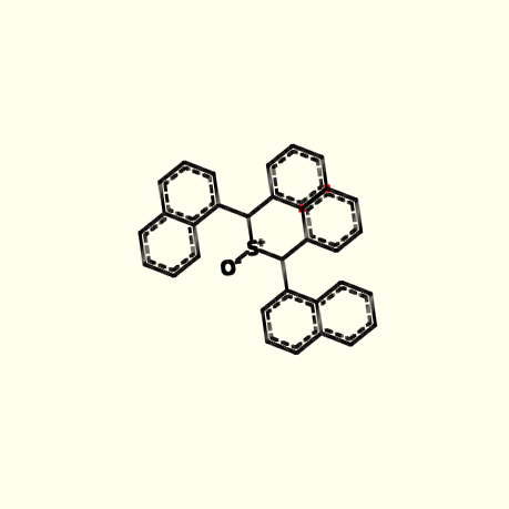 [O-][S+](C(c1ccccc1)c1cccc2ccccc12)C(c1ccccc1)c1cccc2ccccc12